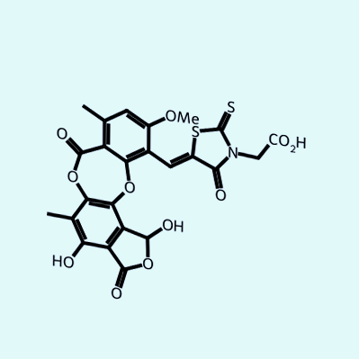 COc1cc(C)c2c(c1C=C1SC(=S)N(CC(=O)O)C1=O)Oc1c(c(C)c(O)c3c1C(O)OC3=O)OC2=O